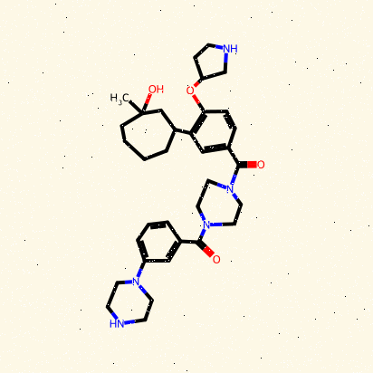 CC1(O)CCCCC(c2cc(C(=O)N3CCN(C(=O)c4cccc(N5CCNCC5)c4)CC3)ccc2OC2CCNC2)C1